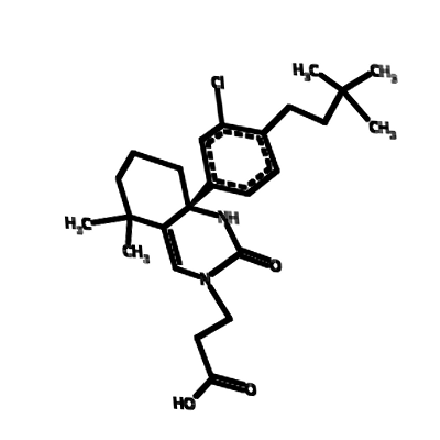 CC(C)(C)CCc1ccc([C@]23CCCC(C)(C)C2=CN(CCC(=O)O)C(=O)N3)cc1Cl